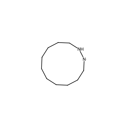 C1CCCCCN[N]CCCC1